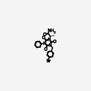 C[C@@H](C(N)=O)n1c(=O)n(Cc2ccc(Br)cc2)c(=O)n(-c2ccccc2)c1=O